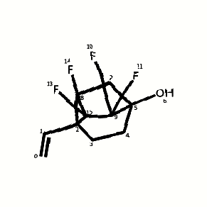 C=CC12CCC(O)(CC1)C(F)(F)C2(F)F